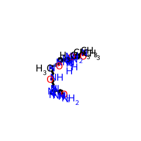 Cc1c(CC(=O)N(C)C)ccc(NC(=O)c2n[nH]c3nc([C@@H]4CCCN(C(=O)/C=C/CN(C)CCCCNC(=O)CCCCn5nc(-c6ccc7oc(N)nc7c6)c6c(N)ncnc65)C4)nc(N)c23)c1C